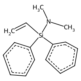 C=C[Si](c1ccccc1)(c1ccccc1)N(C)C